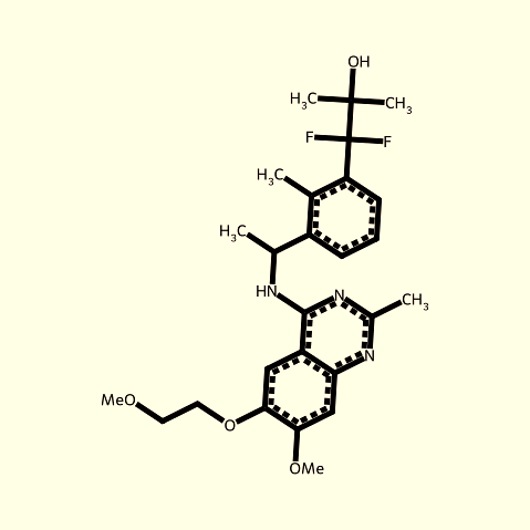 COCCOc1cc2c(NC(C)c3cccc(C(F)(F)C(C)(C)O)c3C)nc(C)nc2cc1OC